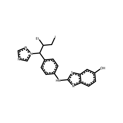 CCC(CI)C(c1ccc(Nc2nc3ccc(O)cc3s2)cc1)n1cncn1